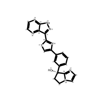 O[C@@]1(c2cccc(-c3csc(-c4n[nH]c5nccnc45)n3)c2)CCn2ccnc21